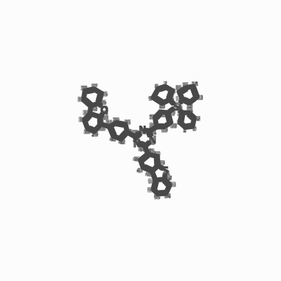 c1ccc([Si](c2ccccc2)(c2ccccc2)c2ccc(-c3nc(-c4ccc(-c5cccc6c5oc5ccccc56)cc4)nc(-c4ccc5c(c4)sc4ccccc45)n3)cc2)cc1